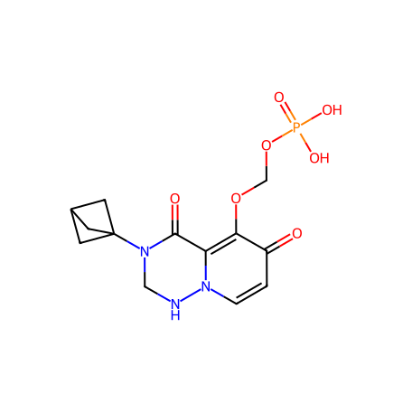 O=C1c2c(OCOP(=O)(O)O)c(=O)ccn2NCN1C12CC(C1)C2